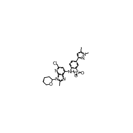 Cc1cc(-c2ccc(Nc3cc(Cl)nc4c3nc(C)n4C3CCCCO3)c([SH](=O)=O)c2)nn1C